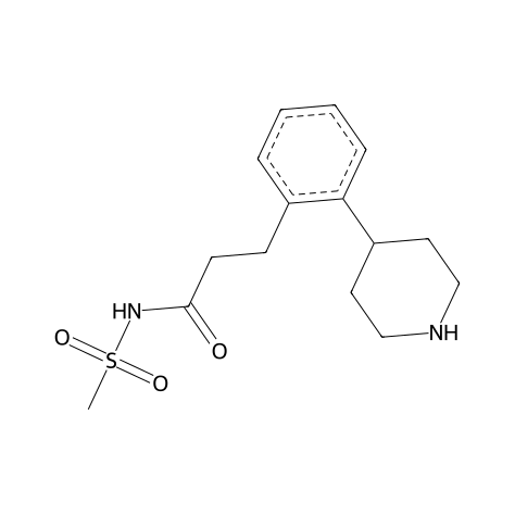 CS(=O)(=O)NC(=O)CCc1ccccc1C1CCNCC1